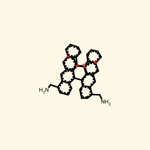 NCc1cccc2c(-c3c(P(c4ccccc4)c4ccccc4)ccc4c(CN)cccc34)c(P(c3ccccc3)c3ccccc3)ccc12